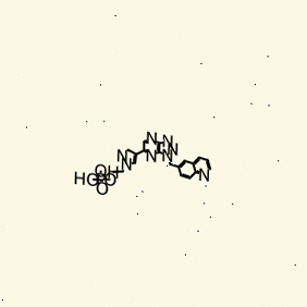 O=P(O)(O)OCCn1cc(-c2cnc3nnn(Cc4ccc5ncccc5c4)c3n2)cn1